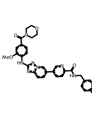 COc1cc(C(=O)N2CCOCC2)ccc1Nc1nc2ccc(-c3ccc(C(=O)NCc4ccc(F)cc4)nc3)cn2n1